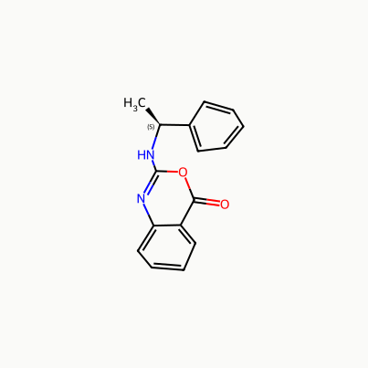 C[C@H](Nc1nc2ccccc2c(=O)o1)c1ccccc1